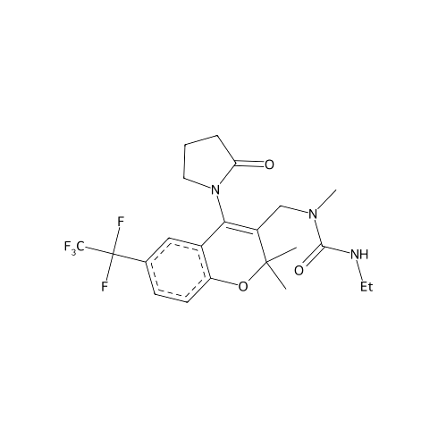 CCNC(=O)N(C)CC1=C(N2CCCC2=O)c2cc(C(F)(F)C(F)(F)F)ccc2OC1(C)C